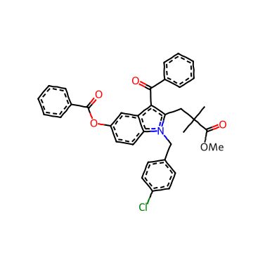 COC(=O)C(C)(C)Cc1c(C(=O)c2ccccc2)c2cc(OC(=O)c3ccccc3)ccc2n1Cc1ccc(Cl)cc1